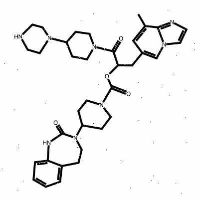 Cc1cc(CC(OC(=O)N2CCC(N3CCc4ccccc4NC3=O)CC2)C(=O)N2CCC(N3CCNCC3)CC2)cn2ccnc12